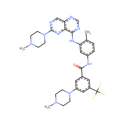 Cc1ccc(NC(=O)c2cc(N3CCN(C)CC3)cc(C(F)(F)F)c2)cc1Nc1ncnc2cnc(N3CCN(C)CC3)nc12